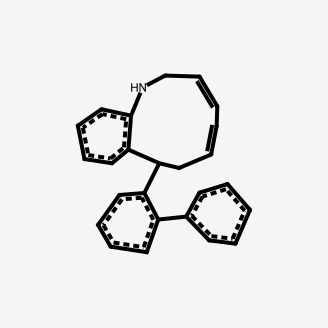 C1=C\CNc2ccccc2C(c2ccccc2-c2ccccc2)C\C=C/1